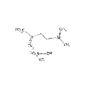 C=C(CCN(C)C)C(=O)O.Cl.O=S(=O)(O)O